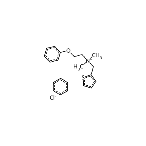 C[N+](C)(CCOc1ccccc1)Cc1cccs1.[Cl-].c1ccccc1